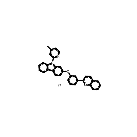 Cc1ccnc(-n2c3ccccc3c3ccc(Oc4cccc(-c5ccc6ccccc6n5)c4)cc32)c1.[Pt]